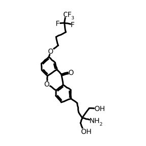 NC(CO)(CO)CCc1ccc2oc3ccc(OCCCC(F)(F)C(F)(F)F)cc3c(=O)c2c1